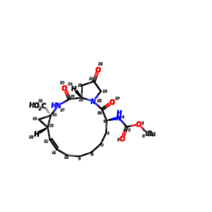 CC(C)(C)OC(=O)N[C@H]1CCCCCC=C[C@@H]2C[C@@]2(C(=O)O)NC(=O)[C@@H]2CC(=O)CN2C1=O